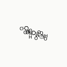 O=C1CCC(N2C(=O)c3ccc(NS(=O)(=O)c4cccc(Cl)c4Cl)cc3C2=O)C(=O)N1